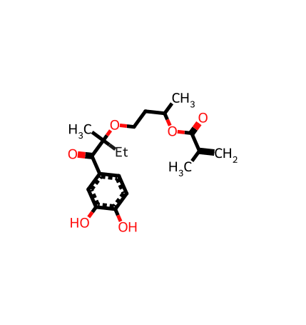 C=C(C)C(=O)OC(C)CCOC(C)(CC)C(=O)c1ccc(O)c(O)c1